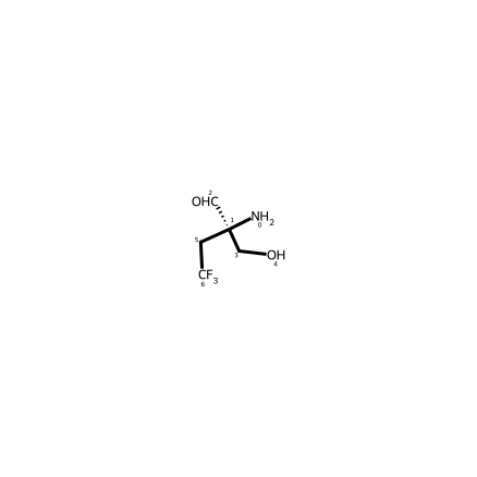 N[C@@](C=O)(CO)CC(F)(F)F